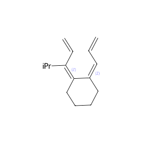 C=C/C=C1/CCCC/C1=C(/C=C)C(C)C